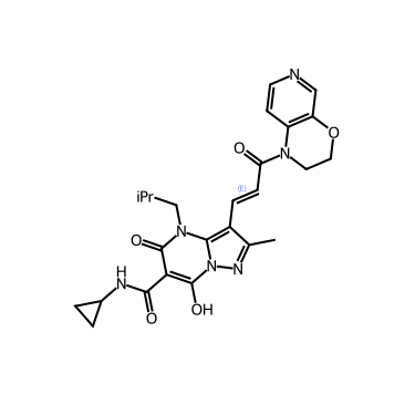 Cc1nn2c(O)c(C(=O)NC3CC3)c(=O)n(CC(C)C)c2c1/C=C/C(=O)N1CCOc2cnccc21